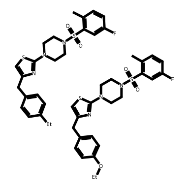 CCOc1ccc(Cc2csc(N3CCN(S(=O)(=O)c4cc(F)ccc4C)CC3)n2)cc1.CCc1ccc(Cc2csc(N3CCN(S(=O)(=O)c4cc(F)ccc4C)CC3)n2)cc1